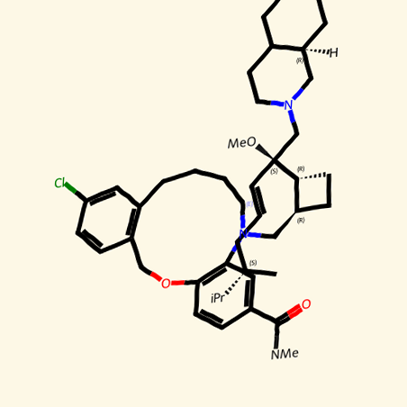 CNC(=O)c1ccc2c(c1)N(C[C@@H]1CC[C@H]1[C@](/C=C/C[C@H](C)C(C)C)(CN1CCC3CCCC[C@H]3C1)OC)CCCCc1cc(Cl)ccc1CO2